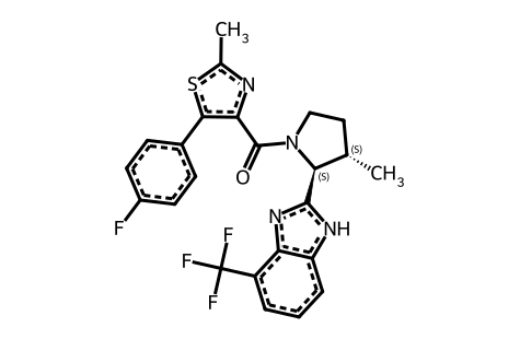 Cc1nc(C(=O)N2CC[C@H](C)[C@H]2c2nc3c(C(F)(F)F)cccc3[nH]2)c(-c2ccc(F)cc2)s1